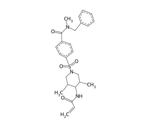 C=CC(=O)NC1C(C)CN(S(=O)(=O)c2ccc(C(=O)N(C)Cc3ccccc3)cc2)CC1C